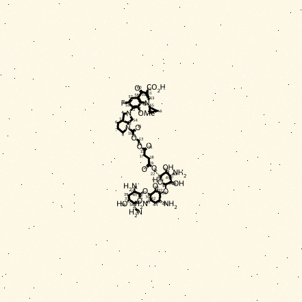 COc1c(N2CC3CCCN(C(=O)OCOC(=O)CCC(=O)OC[C@H]4O[C@H](O[C@@H]5[C@@H](O)[C@H](O[C@H]6O[C@H](CN)[C@@H](O)C[C@H]6N)[C@@H](N)C[C@H]5N)[C@H](O)[C@@H](N)[C@@H]4O)C3C2)c(F)cc2c(=O)c(C(=O)O)cn(C3CC3)c12